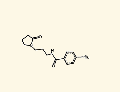 CC(C)(C)c1ccc(C(=O)NCCCN2CCCC2=O)cc1